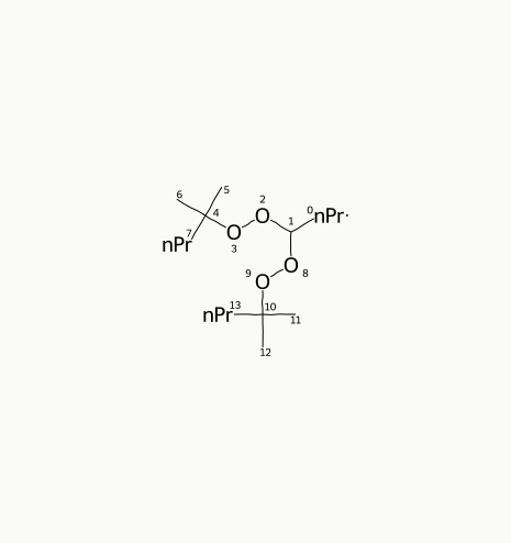 CC[CH]C(OOC(C)(C)CCC)OOC(C)(C)CCC